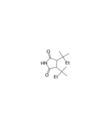 CCC(C)(C)C1C(=O)NC(=O)C1C(C)(C)CC